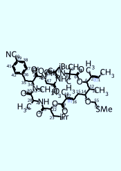 C/C=C(\C)C(OC(=O)C(C)(C)N)C(C)C(C/C=C(\C)C(=O)OC(CC(C)C)C(=O)NC(C)C(=O)N(C)C(Cc1ccc(C#N)cc1)C(=O)N(C)CC(=O)NC(C(=O)O)C(C)CC)OCSC